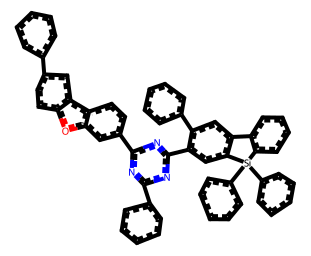 c1ccc(-c2ccc3oc4cc(-c5nc(-c6ccccc6)nc(-c6cc7c(cc6-c6ccccc6)-c6ccccc6[Si]7(c6ccccc6)c6ccccc6)n5)ccc4c3c2)cc1